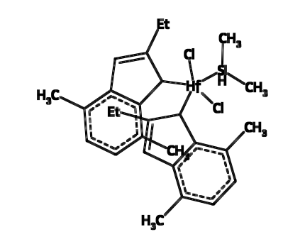 CCC1=Cc2c(C)ccc(C)c2[CH]1[Hf]([Cl])([Cl])([CH]1C(CC)=Cc2c(C)ccc(C)c21)[SiH](C)C